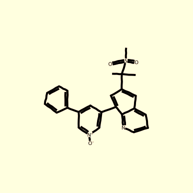 CC(C)(c1cc(-c2cc(-c3ccccc3)c[n+]([O-])c2)c2ncccc2c1)S(C)(=O)=O